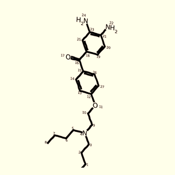 CCCCN(CCCC)CCOc1ccc(C(=O)c2ccc(N)c(N)c2)cc1